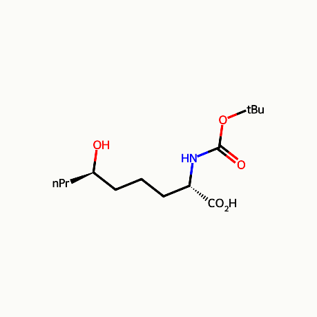 CCC[C@@H](O)CCC[C@H](NC(=O)OC(C)(C)C)C(=O)O